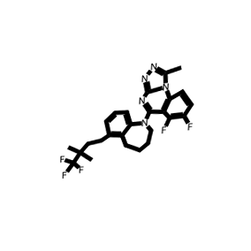 Cc1nnc2nc(N3CCCCc4c(CCC(C)(C)C(F)(F)F)cccc43)c3c(F)c(F)ccc3n12